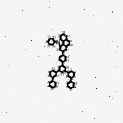 c1ccc(-c2cccc(-c3cc(-c4ccc(-c5cc6ccc7cccc8c7c6c(c5)n8-c5ccccc5)cc4)cc(-c4cccc(-c5ccccc5)c4)c3)c2)cc1